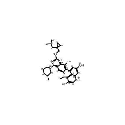 C=[N+](C)CC1(COc2nc(N3CCC[C@H](C)C3)c3ccc(C4=CC(O)=C[C@H]5CC=C(F)C(CC)=C45)c(F)c3n2)CC1